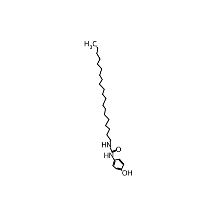 CCCCCCCCCCCCCCCCCCCCNC(=O)Nc1ccc(O)cc1